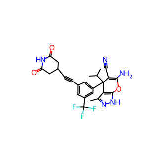 Cc1n[nH]c2c1C(c1cc(C#CC3CC(=O)NC(=O)C3)cc(C(F)(F)F)c1)(C(C)C)C(C#N)=C(N)O2